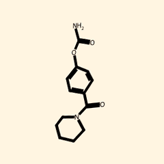 NC(=O)Oc1ccc(C(=O)N2CCCCC2)cc1